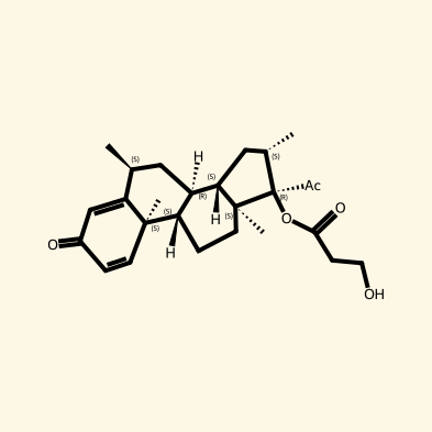 CC(=O)[C@@]1(OC(=O)CCO)[C@@H](C)C[C@H]2[C@@H]3C[C@H](C)C4=CC(=O)C=C[C@]4(C)[C@H]3CC[C@@]21C